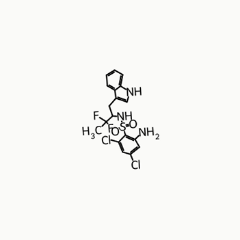 CC(F)(F)C(Cc1c[nH]c2ccccc12)NS(=O)(=O)c1c(N)cc(Cl)cc1Cl